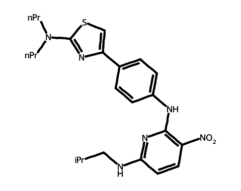 CCCN(CCC)c1nc(-c2ccc(Nc3nc(NCC(C)C)ccc3[N+](=O)[O-])cc2)cs1